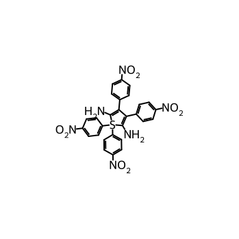 NC1=C(c2ccc([N+](=O)[O-])cc2)C(c2ccc([N+](=O)[O-])cc2)=C(N)S1(c1ccc([N+](=O)[O-])cc1)c1ccc([N+](=O)[O-])cc1